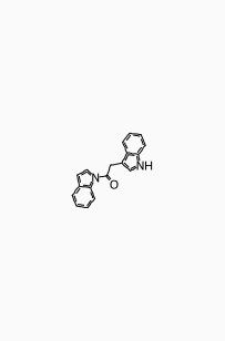 O=C(Cc1c[nH]c2ccccc12)n1ccc2ccccc21